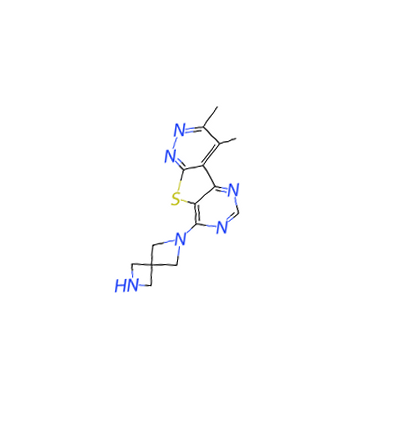 Cc1nnc2sc3c(N4CC5(CNC5)C4)ncnc3c2c1C